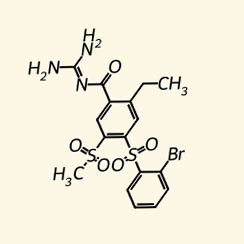 CCc1cc(S(=O)(=O)c2ccccc2Br)c(S(C)(=O)=O)cc1C(=O)N=C(N)N